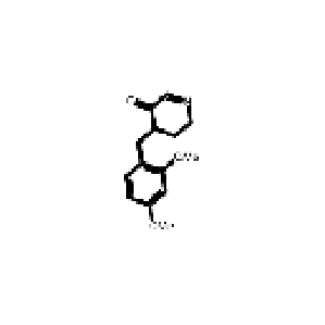 COc1ccc(CC2CCN=CC2=O)c(OC)c1